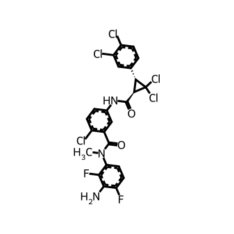 CN(C(=O)c1cc(NC(=O)[C@H]2[C@H](c3ccc(Cl)c(Cl)c3)C2(Cl)Cl)ccc1Cl)c1ccc(F)c(N)c1F